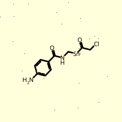 Nc1ccc(C(=O)N[CH2][Sn][C](=O)CCl)cc1